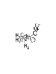 CC1CN(C[C@H](c2cccc(OC(F)(F)F)c2)C2(O)CCCCC2)C[C@@H](C)N1C